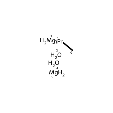 CCCC.O.O.[MgH2].[MgH2]